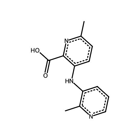 Cc1ccc(Nc2cccnc2C)c(C(=O)O)n1